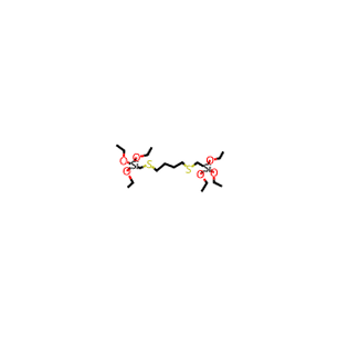 CCO[Si](CSCCCCSC[Si](OCC)(OCC)OCC)(OCC)OCC